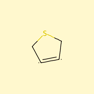 [C]1=[C]CSC1